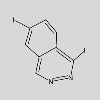 Ic1ccc2c(I)nncc2c1